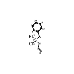 C=CC[Si](Cl)(CC)Cc1ccccc1